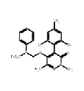 CCOC(=O)N(COc1c(C)nn(C)c(=O)c1-c1c(CC)cc(C)cc1CC)c1ccccc1